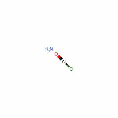 N.[O]=[Al][Cl]